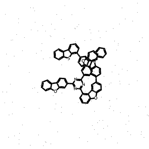 c1ccc(-n2c3ccc(-c4ccc5oc6cccc(-c7nc(-c8ccc9c(c8)oc8ccccc89)nc(-c8ccc9c(c8)oc8ccccc89)n7)c6c5c4)cc3c3ccc(-c4cccc5c4sc4ccccc45)cc32)cc1